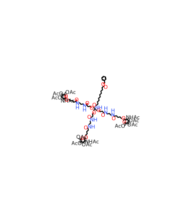 CC(=O)N[C@H]1[C@H](OCCCCC(=O)NCCCNC(=O)CCOCC(COCCC(=O)NCCCNC(=O)CCCCO[C@@H]2O[C@H](COC(C)=O)[C@H](OC(C)=O)[C@H](OC(C)=O)[C@H]2NC(C)=O)(COCCC(=O)NCCCNC(=O)CCCCO[C@@H]2O[C@H](COC(C)=O)[C@H](OC(C)=O)[C@H](OC(C)=O)[C@H]2NC(C)=O)NC(=O)CCCCCCCCCCC(=O)OCc2ccccc2)O[C@H](COC(C)=O)[C@H](OC(C)=O)[C@@H]1OC(C)=O